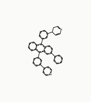 C1=CC(c2cccc(-c3c4ccccc4c(-c4cccc(-c5ccncc5)c4)c4cc(-c5ccccc5)ccc34)c2)CC=N1